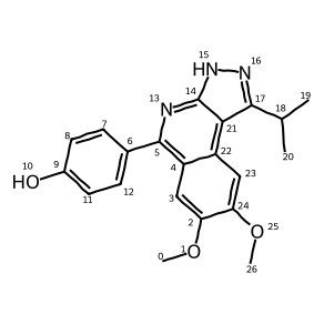 COc1cc2c(-c3ccc(O)cc3)nc3[nH]nc(C(C)C)c3c2cc1OC